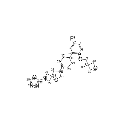 CC1(COc2ccc(F)cc2C2CCN([C@@H]3COC4(C3)CN(c3nnco3)C4)CC2)COC1